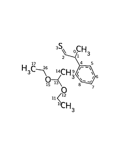 CC(C=S)c1ccccc1.CCOC(C)OCC